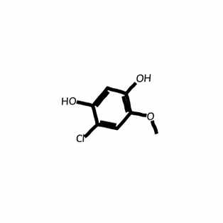 COc1cc(Cl)c(O)cc1O